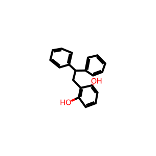 Oc1cccc(O)c1CC(c1ccccc1)c1ccccc1